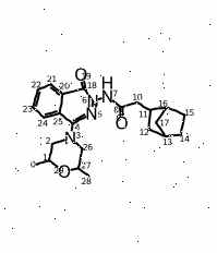 CC1CN(c2nn(NC(=O)CC3CC4CCC3C4)c(=O)c3ccccc23)CC(C)O1